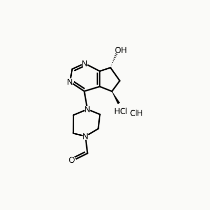 C[C@@H]1C[C@@H](O)c2ncnc(N3CCN(C=O)CC3)c21.Cl.Cl